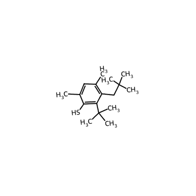 Cc1cc(C)c(CC(C)(C)C)c(C(C)(C)C)c1S